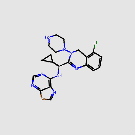 Clc1cccc2c1CN(N1CCNCC1)C([C@@H](Nc1ncnc3scnc13)C1CC1)=N2